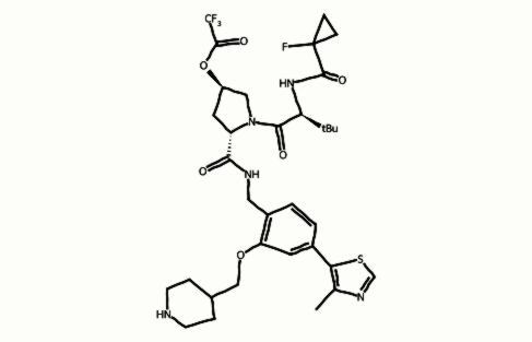 Cc1ncsc1-c1ccc(CNC(=O)[C@@H]2C[C@@H](OC(=O)C(F)(F)F)CN2C(=O)[C@@H](NC(=O)C2(F)CC2)C(C)(C)C)c(OCC2CCNCC2)c1